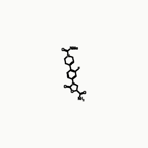 CNC(=O)N1CC=C(c2ccc(N3CC(C(N)=O)OC3=O)cc2F)CC1